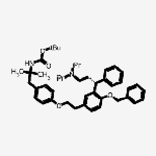 CC(C)N(CC[C@H](c1ccccc1)c1cc(CCOc2ccc(CC(C)(C)NC(=O)OC(C)(C)C)cc2)ccc1OCc1ccccc1)C(C)C